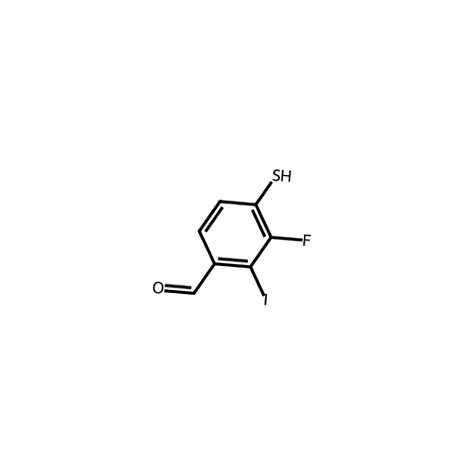 O=Cc1ccc(S)c(F)c1I